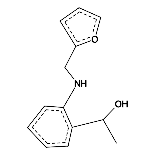 CC(O)c1ccccc1NCc1ccco1